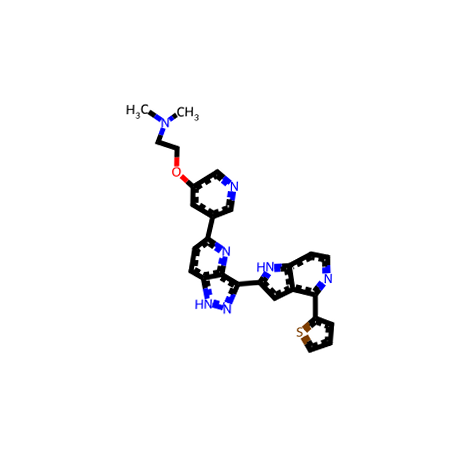 CN(C)CCOc1cncc(-c2ccc3[nH]nc(-c4cc5c(-c6cccs6)nccc5[nH]4)c3n2)c1